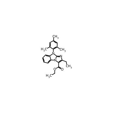 CCOC(=O)c1c(CC)nc2n(-c3c(C)cc(C)cc3C)c3ccccc3n12